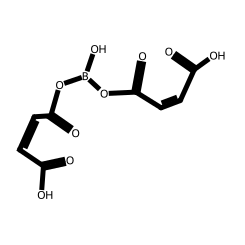 O=C(O)/C=C\C(=O)OB(O)OC(=O)/C=C\C(=O)O